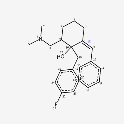 CN(C)CC1CCC/C(=C/c2ccccc2)C1(O)Cc1ccc(F)cc1